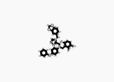 Fc1ccc(F)c(CN(Cc2nncn2Cc2ccc3c(c2)OCO3)c2ccc(Oc3ccccc3)cc2)c1F